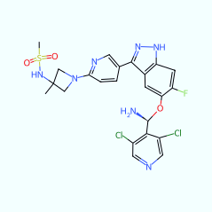 CC1(NS(C)(=O)=O)CN(c2ccc(-c3n[nH]c4cc(F)c(O[C@H](N)c5c(Cl)cncc5Cl)cc34)cn2)C1